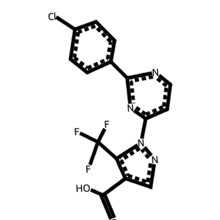 O=C(O)c1cnn(-c2ccnc(-c3ccc(Cl)cc3)n2)c1C(F)(F)F